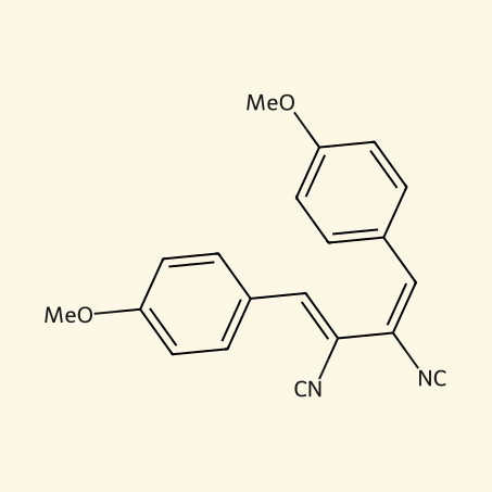 [C-]#[N+]C(=Cc1ccc(OC)cc1)C(=Cc1ccc(OC)cc1)[N+]#[C-]